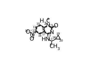 C[C@@H](Nc1nc(=O)n(C)c2ccc([N+](=O)[O-])cc12)C1CC1